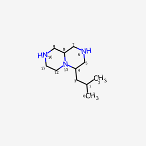 CC(C)CC1CNCC2CNCCN21